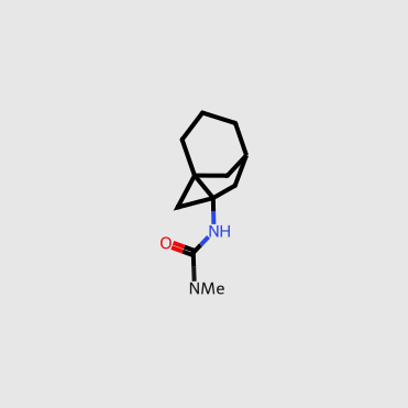 CNC(=O)NC12CC3CCCC1(C3)C2